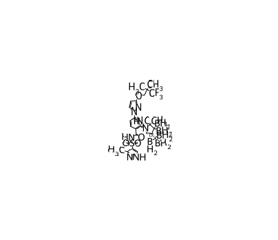 BC(B)(B)[C@@H]1CN(c2nc(-n3ccc(OCC(C)(C)C(F)(F)F)n3)ccc2C(=O)NS(=O)(=O)c2c[nH]nc2C)C(C)(C)C1(B)B